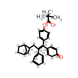 CC(C)(C)C(=O)Oc1ccc(/C(C2=CCC(=O)C=C2)=C(\CC2CC3CCC2C3)c2ccccc2)cc1